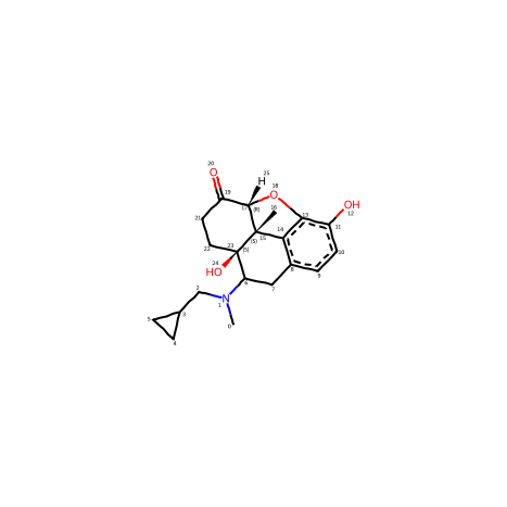 CN(CC1CC1)C1Cc2ccc(O)c3c2[C@@]2(C)[C@@H](O3)C(=O)CC[C@@]12O